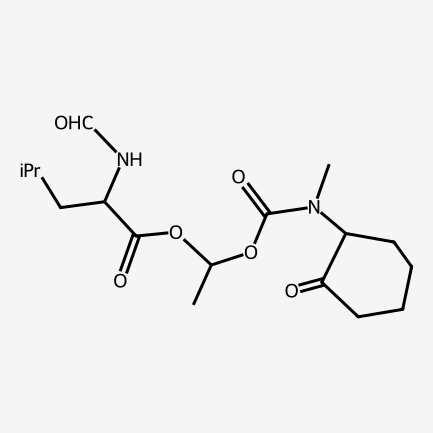 CC(C)CC(NC=O)C(=O)OC(C)OC(=O)N(C)C1CCCCC1=O